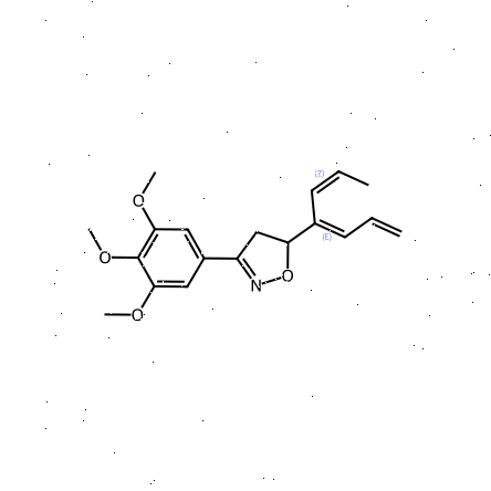 C=C/C=C(\C=C/C)C1CC(c2cc(OC)c(OC)c(OC)c2)=NO1